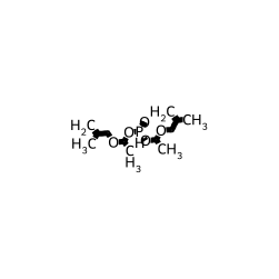 C=C(C)COC(C)O[PH](=O)OC(C)OCC(=C)C